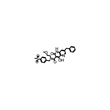 COCCN(Cc1ccc(S(C)(=O)=O)cc1)C(=O)c1c(O)c2ncc(Cc3ccccc3)cc2[nH]c1=O